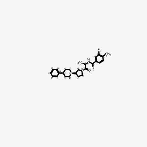 Cc1ccc(C(=O)NC(C)C(=O)N2CCC(N3CCC(c4ccccc4)CC3)C2)cc1Cl